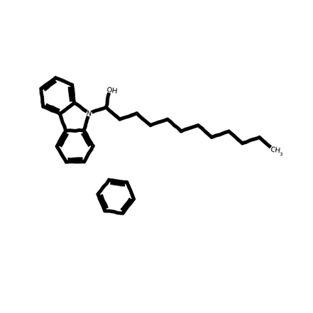 CCCCCCCCCCCC(O)n1c2ccccc2c2ccccc21.c1ccccc1